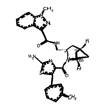 Cc1cccc(-c2sc(N)nc2C(=O)N2[C@H](CNC(=O)c3nn(C)c4ccccc34)C[C@@H]3C[C@@H]32)c1